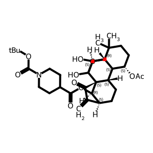 C=C1C(=O)[C@]23[C@H](OC(=O)C4CCN(C(=O)OC(C)(C)C)CC4)[C@H]1CC[C@H]2[C@@]12COC3(O)[C@@H](O)[C@@H]1C(C)(C)CC[C@@H]2OC(C)=O